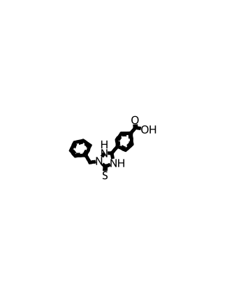 O=C(O)c1ccc(C2NC(=S)N(Cc3ccccc3)N2)cc1